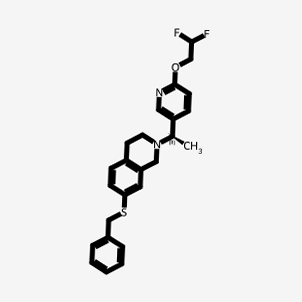 C[C@H](c1ccc(OCC(F)F)nc1)N1CCc2ccc(SCc3ccccc3)cc2C1